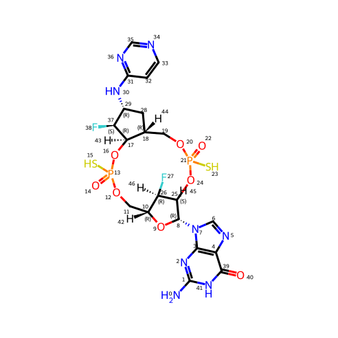 Nc1nc2c(ncn2[C@@H]2O[C@@H]3COP(=O)(S)O[C@@H]4[C@@H](COP(=O)(S)O[C@@H]2[C@@H]3F)C[C@@H](Nc2ccncn2)[C@@H]4F)c(=O)[nH]1